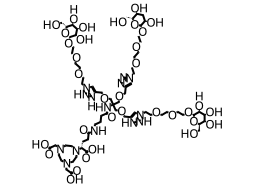 O=C(O)CN1CCN(CC(=O)O)CCN([C@H](CCC(=O)NCCCC(=O)NC(COCC2=CN(CCOCCOCCO[C@@H]3O[C@H](CO)[C@H](O)[C@H](O)[C@H]3O)NN2)(COCC2=CN(CCOCCOCCO[C@@H]3O[C@H](CO)[C@H](O)[C@H](O)[C@H]3O)NN2)COCc2cn(CCOCCOCCO[C@@H]3O[C@H](CO)[C@H](O)C[C@H]3O)nn2)C(=O)O)CC1